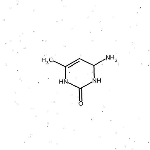 CC1=CC(N)NC(=O)N1